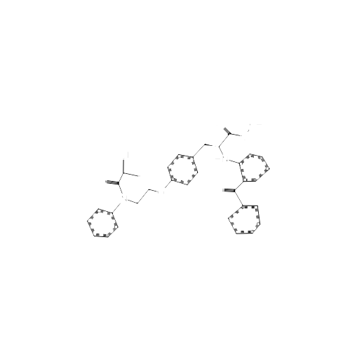 COC(=O)[C@H](Cc1ccc(OCCN(C(=O)C(C)C)c2ccccc2)cc1)Nc1ccccc1C(=O)c1ccccc1